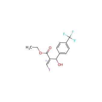 CCOC(=O)/C(=C/I)C(O)c1ccc(C(F)(F)F)cc1